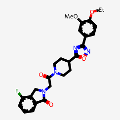 CCOc1ccc(-c2noc(C3CCN(C(=O)CN4Cc5c(F)cccc5C4=O)CC3)n2)cc1OC